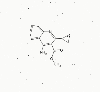 COC(=O)c1c(C2CC2)nc2ccccc2c1N